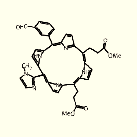 COC(=O)CCc1c2nc(c(-c3cccc(C=O)c3)c3ccc([nH]3)c(-c3nccn3C)c3nc(c(CCC(=O)OC)c4ccc1[nH]4)C=C3)C=C2